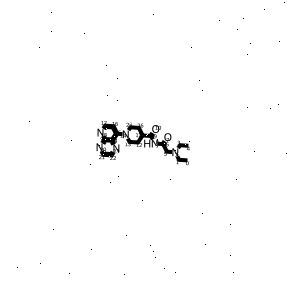 CCN(CC)CC(=O)NC(=O)C1CCN(c2ccnc3nccnc23)CC1